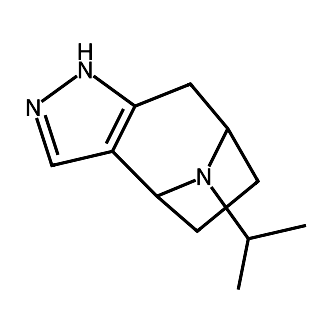 CC(C)N1C2CCC1c1cn[nH]c1C2